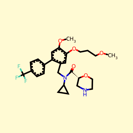 COCCCOc1cc(CN(C(=O)[C@H]2CNCCO2)C2CC2)c(-c2ccc(C(F)(F)F)cc2)cc1OC